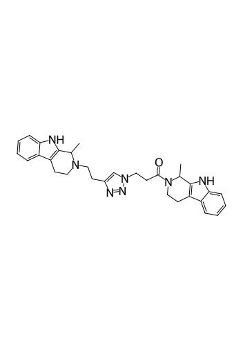 CC1c2[nH]c3ccccc3c2CCN1CCc1cn(CCC(=O)N2CCc3c([nH]c4ccccc34)C2C)nn1